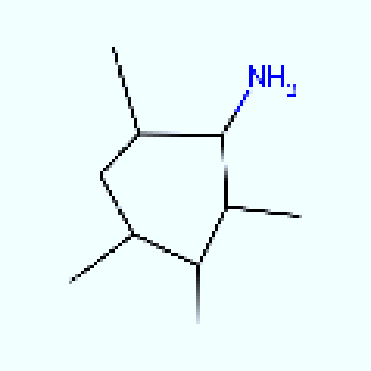 CC1CC(C)C(N)C(C)C1C